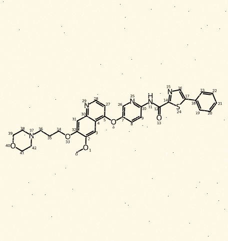 COc1cc2c(Oc3ccc(NC(=O)c4ncc(-c5ccccc5)s4)nc3)ccnc2cc1OCCCN1CCOCC1